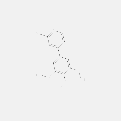 COc1cc(-c2ccnc(Br)c2)cc(OC)c1OC